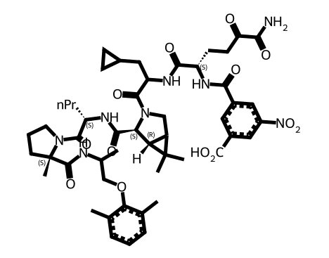 CCC[C@H](NC(=O)[C@@H]1[C@@H]2C(CN1C(=O)C(CC1CC1)NC(=O)[C@H](CCC(=O)C(N)=O)NC(=O)c1cc(C(=O)O)cc([N+](=O)[O-])c1)C2(C)C)C(=O)N1CCC[C@@]1(C)C(=O)NC(C)COc1c(C)cccc1C